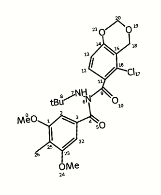 COc1cc(C(=O)N(NC(C)(C)C)C(=O)c2ccc3c(c2Cl)COCO3)cc(OC)c1C